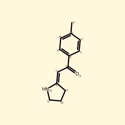 Cc1ccc(C(=O)C=C2CCCN2)cc1